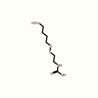 CCCCCCCCCCCCSSCCNC(=O)CCC